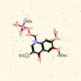 CCCCCCCCCCOc1cc2c(=O)c(C(=O)OCC)cn(COOP(=O)(O)OC)c2cc1OCC